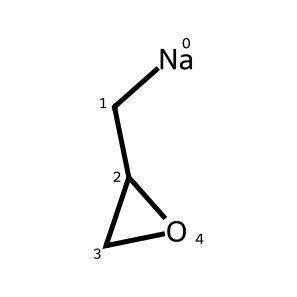 [Na][CH2]C1CO1